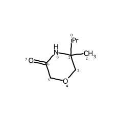 CC(C)C1(C)COCC(=O)N1